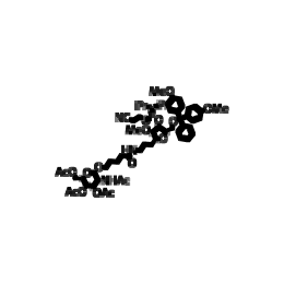 COc1ccc(C(OC[C@H]2O[C@@H](CCCNC(=O)CCCCO[C@@H]3O[C@H](COC(C)=O)[C@H](OC(C)=O)[C@H](OC(C)=O)[C@H]3NC(C)=O)[C@H](OC)[C@@H]2OP(OCCC#N)N(C(C)C)C(C)C)(c2ccccc2)c2ccc(OC)cc2)cc1